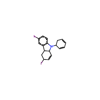 Ic1ccc2c(c1)C1CC(I)C=CC1N2C1C=CC=CC1